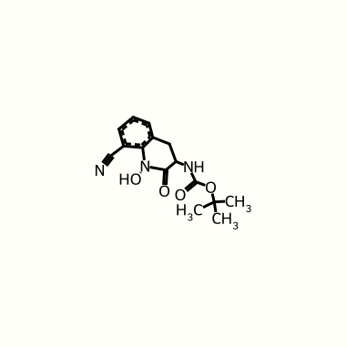 CC(C)(C)OC(=O)NC1Cc2cccc(C#N)c2N(O)C1=O